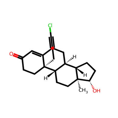 C[C@]12CC[C@H]3[C@@H](CCC4=CC(=O)CC[C@@]43CC#CCl)[C@@H]1CC[C@@H]2O